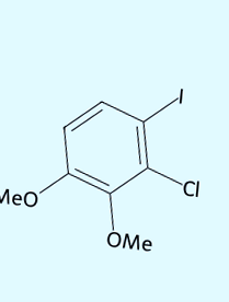 COc1ccc(I)c(Cl)c1OC